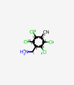 N#Cc1c(Cl)c(Cl)c(CN)c(Cl)c1Cl